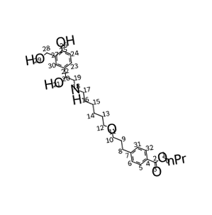 CCCOC(=O)c1ccc(CCCOCCCCCCNCC(O)c2ccc(O)c(CO)c2)cc1